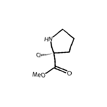 COC(=O)[C@]1(Cl)CCCN1